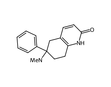 CNC1(c2ccccc2)CCc2[nH]c(=O)ccc2C1